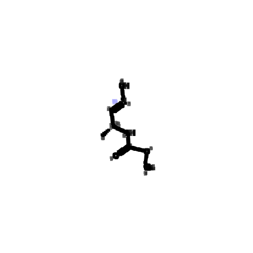 C[C@H](/C=N/O)NC(=O)OC(C)(C)C